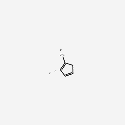 [I-].[I-].[I-].[Zr+3][C]1=CC=CC1